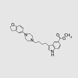 COC(=O)c1ccc2[nH]cc(CCCCN3CCN(c4ccc5c(c4)CCO5)CC3)c2c1